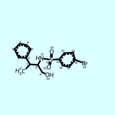 CC(c1ccccc1)C(CO)NS(=O)(=O)c1ccc(Br)cc1